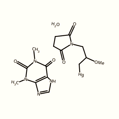 COC([CH2][Hg])CN1C(=O)CCC1=O.Cn1c(=O)c2[nH]cnc2n(C)c1=O.O